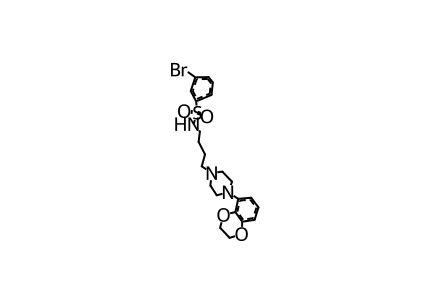 O=S(=O)(NCCCCN1CCN(c2cccc3c2OCCO3)CC1)c1cccc(Br)c1